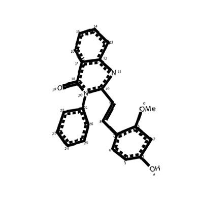 COc1cc(O)ccc1C=Cc1nc2ccccc2c(=O)n1-c1ccccc1